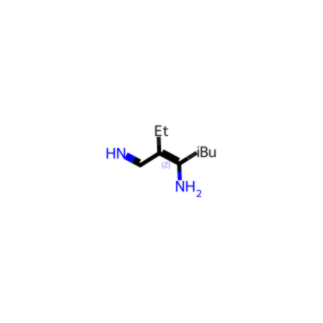 CC/C(C=N)=C(/N)C(C)CC